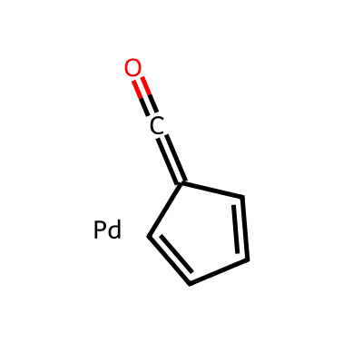 O=C=C1C=CC=C1.[Pd]